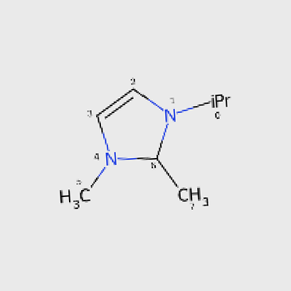 CC(C)N1C=CN(C)C1C